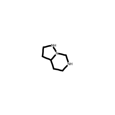 C1CC2CCNN2CN1